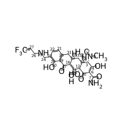 CN(C)[C@@H]1C(O)=C(C(N)=O)C(=O)[C@@]2(O)C(O)=C3C(=O)c4c(ccc(CNCCC(F)(F)F)c4O)C[C@H]3C[C@@H]12